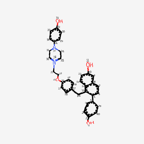 Oc1ccc(-c2ccc3cc(O)ccc3c2Cc2ccc(OCCN3CCN(c4ccc(O)cc4)CC3)cc2)cc1